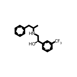 CC(Cc1ccccc1)NC[C@H](O)c1cccc(C(F)(F)F)c1